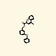 C/C(=C/C(C(=O)OCc1cccc(Oc2ccccc2)c1)C(C)C)c1ccccc1